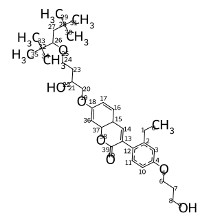 CCc1cc(OCCCO)ccc1C1=CC2C=CC(OCC(O)CCOC(CC(C)(C)C)C(C)(C)C)=CC2OC1=O